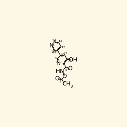 CC(=O)ONC(=O)c1ncc(-c2cccnc2)cc1O